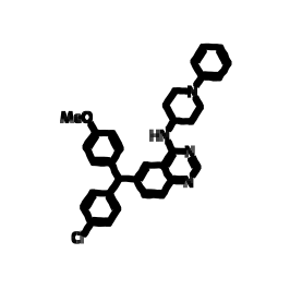 COc1ccc(C(c2ccc(Cl)cc2)c2ccc3ncnc(NC4CCN(c5ccccc5)CC4)c3c2)cc1